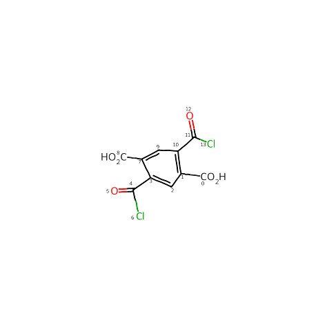 O=C(O)c1cc(C(=O)Cl)c(C(=O)O)cc1C(=O)Cl